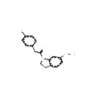 O=C(Cc1ccc(Cl)cc1)N1CCc2ccc(OC(F)(F)F)cc21